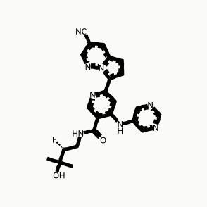 CC(C)(O)[C@H](F)CNC(=O)c1cnc(-c2ccc3cc(C#N)cnn23)cc1Nc1cncnc1